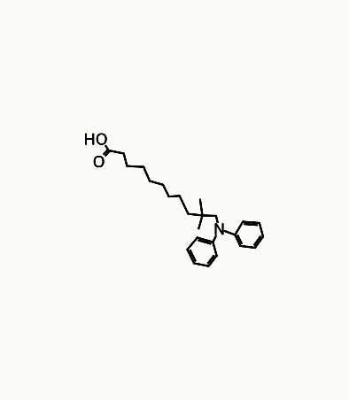 CC(C)(CCCCCCCCC(=O)O)CN(c1ccccc1)c1ccccc1